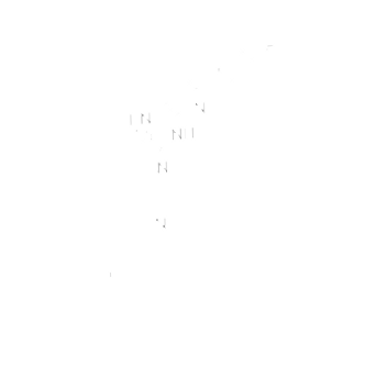 Nc1ccc(-c2ccc(F)cc2)nc1NC(=O)N1CC2CN(CC3CCOCC3)CC2C1